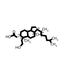 CC(C)CCC[C@@H](C)[C@H]1CCC2C3CC[C@@H](CC(=O)O)[C@](C)(CCO)C3CC[C@@]21C